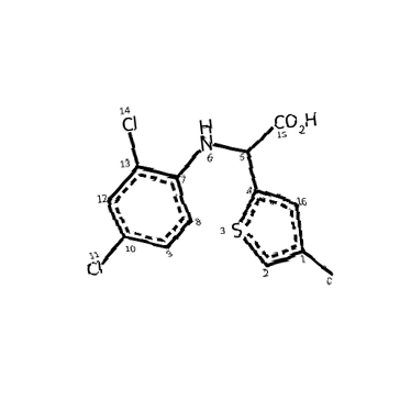 Cc1csc(C(Nc2ccc(Cl)cc2Cl)C(=O)O)c1